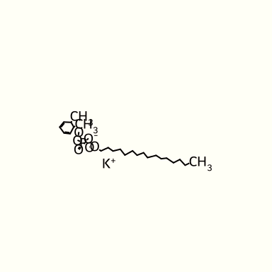 CCCCCCCCCCCCCCCCOOP(=O)([O-])OOC1(C)C=CC=CC1C.[K+]